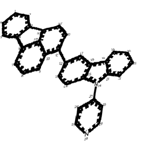 c1ccc2c(c1)-c1cccc3c(-c4ccc5c(c4)c4ccccc4n5-c4ccncc4)ccc-2c13